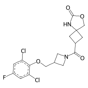 O=C1NC2(CO1)CC(C(=O)N1CC(COc3c(Cl)cc(F)cc3Cl)C1)C2